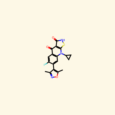 Cc1noc(C)c1-c1cc2c(cc1F)c(=O)c1c(=O)[nH]sc1n2C1CC1